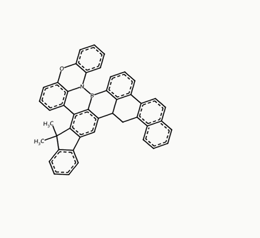 CC1(C)c2ccccc2-c2cc3c4c(c21)-c1cccc2c1N(B4c1cccc4c1C3Cc1c-4ccc3ccccc13)c1ccccc1O2